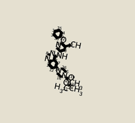 C#Cc1cc(Nc2ncnc3ccc(N4CCN(C(=O)OC(C)(C)C)CC4)cc23)cnc1Oc1ccccc1